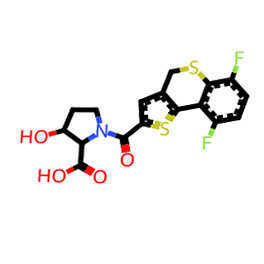 O=C(O)C1C(O)CCN1C(=O)c1cc2c(s1)-c1c(F)ccc(F)c1SC2